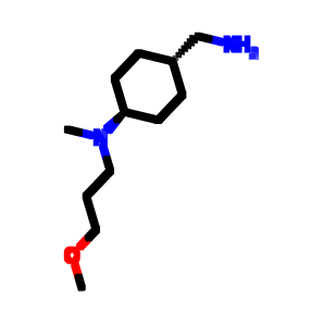 COCCCN(C)[C@H]1CC[C@H](CN)CC1